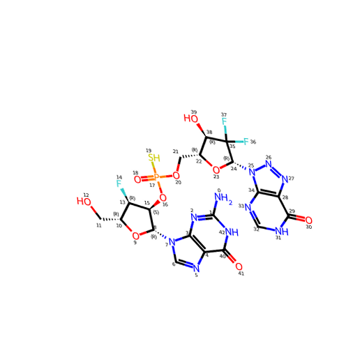 Nc1nc2c(ncn2[C@@H]2O[C@H](CO)[C@@H](F)[C@H]2OP(=O)(S)OC[C@H]2O[C@@H](n3nnc4c(=O)[nH]cnc43)C(F)(F)[C@@H]2O)c(=O)[nH]1